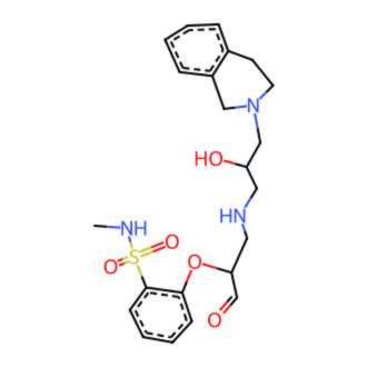 CNS(=O)(=O)c1ccccc1OC(C=O)CNCC(O)CN1CCc2ccccc2C1